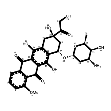 COc1cccc2c1C(=O)c1c(O)c3c(c(O)c1C2=O)C[C@](O)(C(=O)CO)C[C@@H]3O[C@H]1C[C@H](N)[C@H](O)[C@H](C)O1